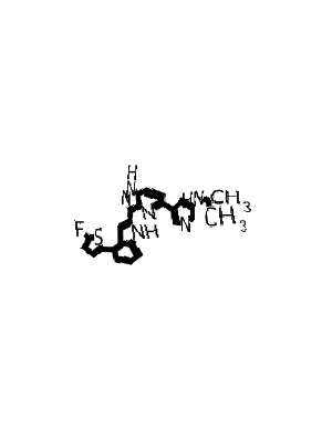 CC(C)Nc1cncc(-c2ccc3[nH]nc(-c4cc5c(-c6ccc(F)s6)cccc5[nH]4)c3n2)c1